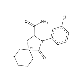 NC(=O)C1C[C@]2(C[CH]CCC2)C(=O)N1c1cccc(Cl)c1